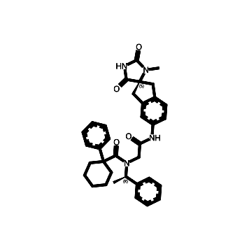 C[C@H](c1ccccc1)N(CC(=O)Nc1ccc2c(c1)C[C@@]1(C2)C(=O)NC(=O)N1C)C(=O)C1(c2ccccc2)CCCCC1